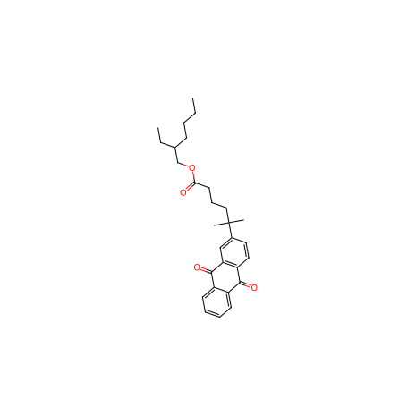 CCCCC(CC)COC(=O)CCCC(C)(C)c1ccc2c(c1)C(=O)c1ccccc1C2=O